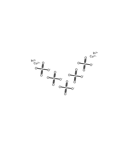 O=S(=O)([O-])[O-].O=S(=O)([O-])[O-].O=S(=O)([O-])[O-].O=S(=O)([O-])[O-].O=S(=O)([O-])[O-].[Cu+2].[Cu+2].[In+3].[In+3]